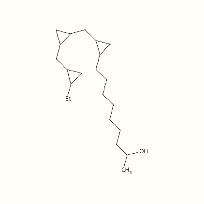 CCC1CC1CC1CC1CC1CC1CCCCCCCC(C)O